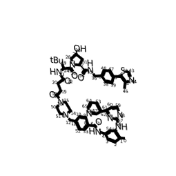 Cc1ccc(NC(=O)c2ccc(CN3CCN(C(=O)CCC(=O)NC(C(=O)N4C[C@H](O)C[C@H]4C(=O)NCc4ccc(-c5scnc5C)cc4)C(C)(C)C)CC3)cc2)cc1Nc1nccc(-c2cccnc2)n1